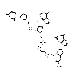 CO[C@@H]1[C@H](OP(=O)(O)OC[C@H]2O[C@@H](n3ccc(=O)[nH]c3=O)[C@H](O)[C@@H]2O)[C@@H](COP(=O)(O)OP(=O)(O)CCP(=O)(O)OC[C@H]2O[C@@H](n3c[n+](C)c4c(=O)[nH]c(N)nc43)[C@H](O)C2CC(=O)N(C)C)O[C@H]1n1cnc2c(N)ncnc21